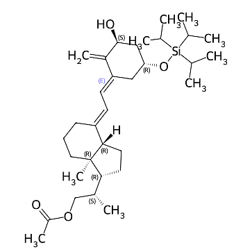 C=C1/C(=C/C=C2CCC[C@]3(C)[C@@H]([C@H](C)COC(C)=O)CC[C@@H]23)C[C@@H](O[Si](C(C)C)(C(C)C)C(C)C)C[C@@H]1O